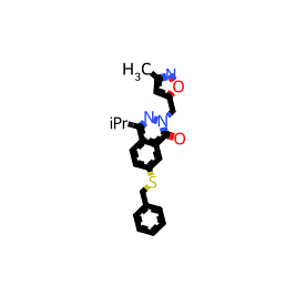 Cc1cc(Cn2nc(C(C)C)c3ccc(SCc4ccccc4)cc3c2=O)on1